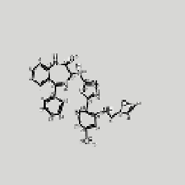 O=C1Nc2ccccc2C(c2ccccc2)=NC1Nc1nnc(-c2ncc(C(F)(F)F)cc2NCC2C=CO2)o1